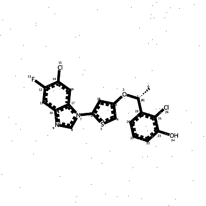 C[C@@H](Oc1csc(-n2cnc3cc(F)c(Cl)cc32)c1)c1cccc(O)c1Cl